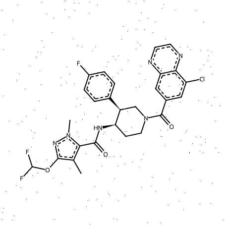 Cc1c(OC(F)F)nn(C)c1C(=O)N[C@@H]1CCN(C(=O)c2cc(Cl)c3nccnc3c2)C[C@@H]1c1ccc(F)cc1